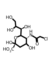 O=C(CCl)N[C@@H]1C(O)C[C@@](O)(C(=O)O)OC1[C@H](O)C(O)CO